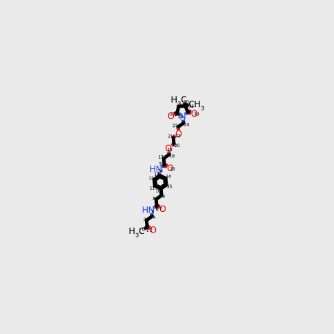 CC(=O)CCNC(=O)CCc1ccc(NC(=O)CCOCCOCCN2C(=O)CC(C)(C)C2=O)cc1